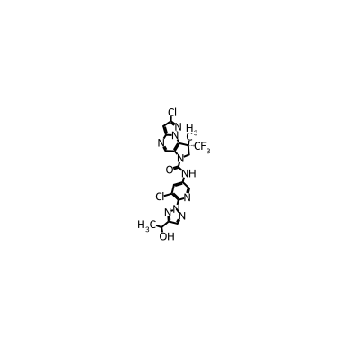 CC(O)c1cnn(-c2ncc(NC(=O)N3C[C@@](C)(C(F)(F)F)c4c3cnc3cc(Cl)nn43)cc2Cl)n1